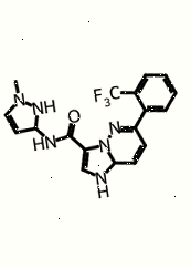 CN1C=CC(NC(=O)C2=CNC3C=CC(c4ccccc4C(F)(F)F)=NN23)N1